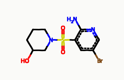 Nc1ncc(Br)cc1S(=O)(=O)N1CCCC(O)C1